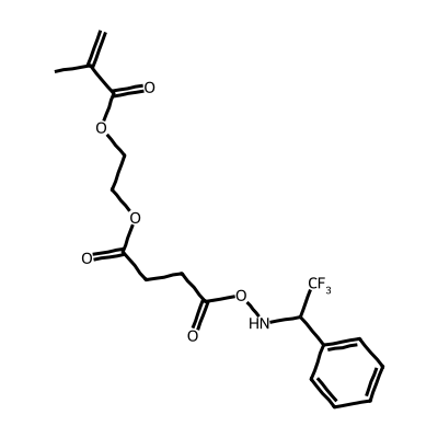 C=C(C)C(=O)OCCOC(=O)CCC(=O)ONC(c1ccccc1)C(F)(F)F